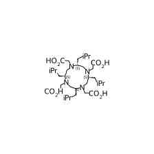 CC(C)C[C@H]1CN(CC(=O)O)[C@@H](CC(C)C)CN(CC(=O)O)[C@@H](CC(C)C)CN(CC(=O)O)[C@@H](CC(C)C)CN1CC(=O)O